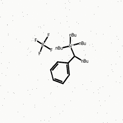 CCCCC(c1ccccc1)[N+](CCCC)(CCCC)CCCC.F[B-](F)(F)F